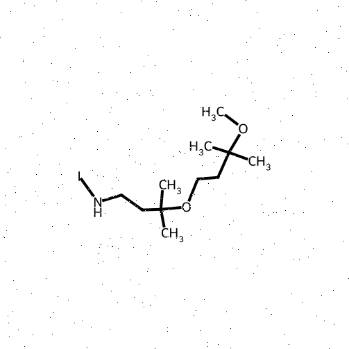 COC(C)(C)CCOC(C)(C)CCNI